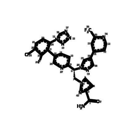 NC(=O)c1ccn(C[C@H](c2ccc(-c3c(-n4cnnn4)ccc(Cl)c3F)cn2)n2cc(-c3ccnc(C(F)(F)F)c3)cn2)n1